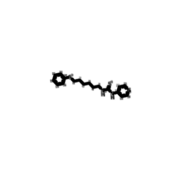 S=C(NCCCCCCSc1ccccc1)Nc1ccncc1